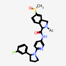 CC(=O)N1Cc2cc([S+](C)[O-])ccc2C1C(=O)Nc1ccc(N2CCCC2c2cccc(F)c2)nc1